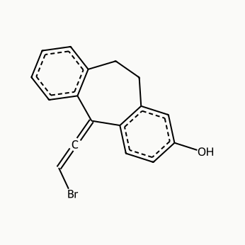 Oc1ccc2c(c1)CCc1ccccc1C2=C=CBr